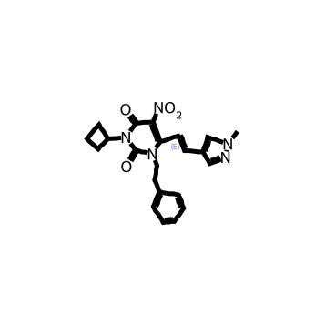 Cn1cc(/C=C/c2c([N+](=O)[O-])c(=O)n(C3CCC3)c(=O)n2CCc2ccccc2)cn1